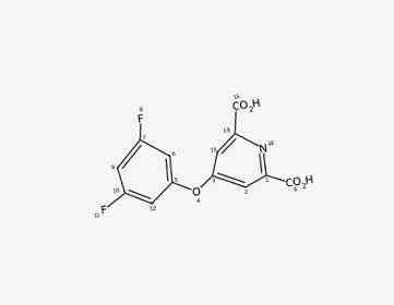 O=C(O)c1cc(Oc2cc(F)cc(F)c2)cc(C(=O)O)n1